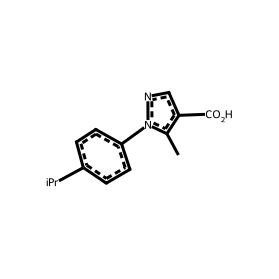 Cc1c(C(=O)O)cnn1-c1ccc(C(C)C)cc1